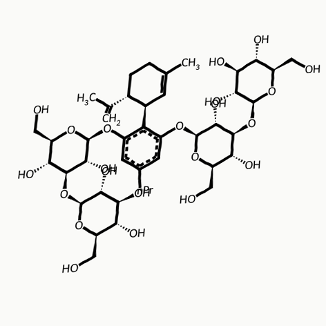 C=C(C)[C@@H]1CCC(C)=C[C@H]1c1c(O[C@@H]2O[C@H](CO)[C@@H](O)[C@H](O[C@@H]3O[C@H](CO)[C@@H](O)[C@H](O)[C@H]3O)[C@H]2O)cc(CCC)cc1O[C@@H]1O[C@H](CO)[C@@H](O)[C@H](O[C@@H]2O[C@H](CO)[C@@H](O)[C@H](O)[C@H]2O)[C@H]1O